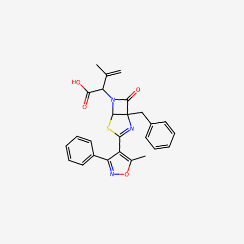 C=C(C)C(C(=O)O)N1C(=O)C2(Cc3ccccc3)N=C(c3c(-c4ccccc4)noc3C)SC12